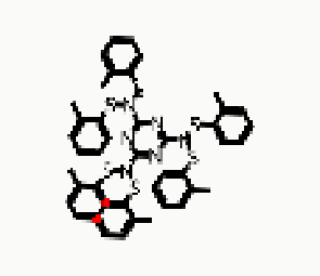 Cc1ccccc1SN(Sc1ccccc1C)c1nc(N(Sc2ccccc2C)Sc2ccccc2C)nc(N(Sc2ccccc2C)Sc2ccccc2C)n1